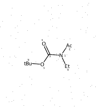 CCN(C(C)=O)C(=O)OC(C)(C)C